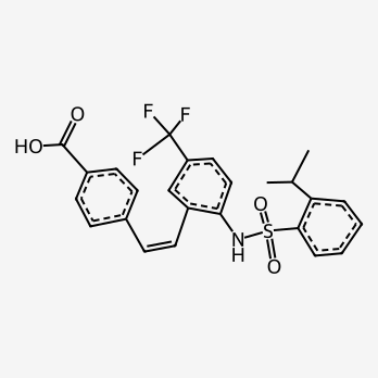 CC(C)c1ccccc1S(=O)(=O)Nc1ccc(C(F)(F)F)cc1/C=C\c1ccc(C(=O)O)cc1